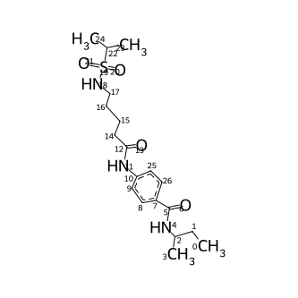 CCC(C)NC(=O)c1ccc(NC(=O)CCCCNS(=O)(=O)C(C)C)cc1